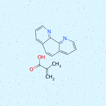 C=C(C)C(=O)O.c1cnc2c(c1)ccc1cccnc12